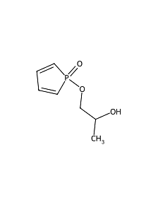 CC(O)COP1(=O)C=CC=C1